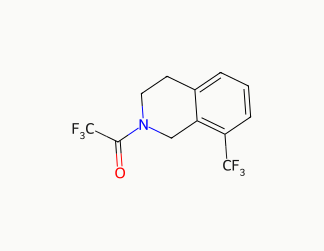 O=C(N1CCc2cccc(C(F)(F)F)c2C1)C(F)(F)F